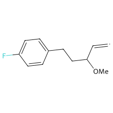 [CH]=CC(CCc1ccc(F)cc1)OC